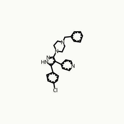 Clc1ccc(-c2[nH]nc(N3CCN(Cc4ccccc4)CC3)c2-c2ccncc2)cc1